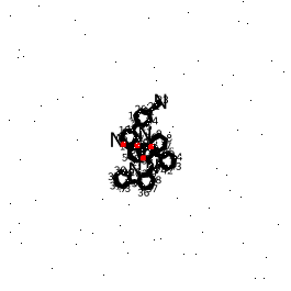 N#Cc1cc(-c2ccccc2-n2c3ccccc3c3ccc(C#N)cc32)cc(-n2c3ccccc3c3cccc(-n4c5ccccc5c5ccccc54)c32)c1